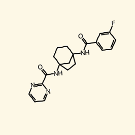 O=C(NC12CCCC(NC(=O)c3ncccn3)(CC1)C2)c1cccc(F)c1